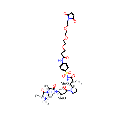 CC[C@H](C)[C@@H]([C@H](CC(=O)N1CCC[C@H]1[C@H](OC)[C@@H](C)C(=O)NS(=O)(=O)c1ccc(NC(=O)CCOCCOCCOCCN2C(=O)C=CC2=O)cc1)OC)N(C)C(=O)[C@@H](NC(=O)[C@H](C(C)C)N(C)C)C(C)C